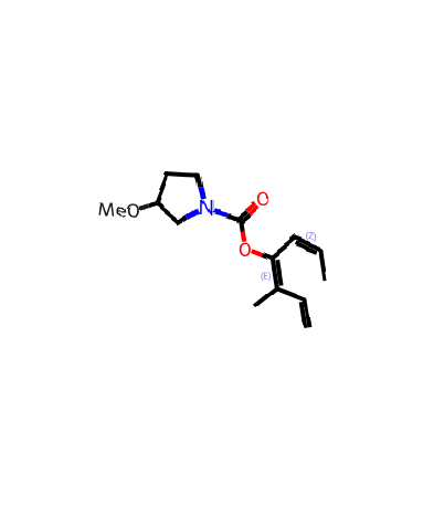 C=C/C(C)=C(\C=C/C)OC(=O)N1CCC(OC)C1